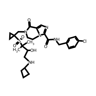 CC(C)(C(O)CNC1CCC1)S(=O)(=O)C1(CN2CCn3c(cnc3C(=O)NCc3ccc(Cl)cc3)C2=O)CC1